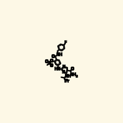 CC(C)[C@@H](C)Nc1nc(Nc2ccc(C(=O)NCc3ccc(F)cc3)c(OS(C)(=O)=O)c2)ncc1C(N)=O